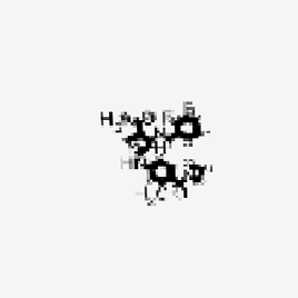 Cc1cc(Nc2cc(NCc3cccc(F)c3F)c(C(N)=O)cn2)ccc1C(=O)N1CCC1